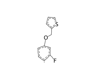 Fc1[c]ccc(OCc2cccs2)c1